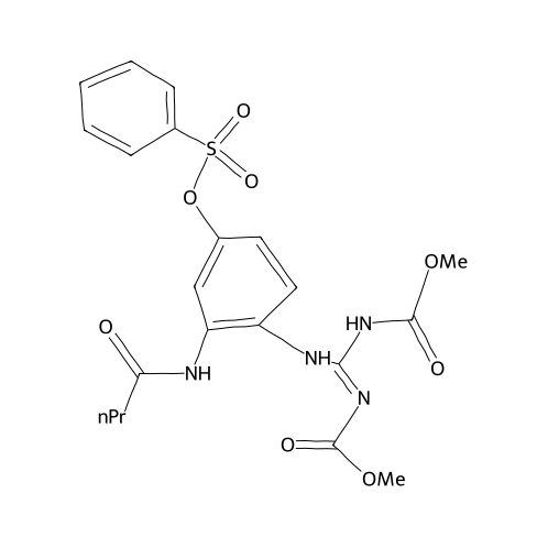 CCCC(=O)Nc1cc(OS(=O)(=O)c2ccccc2)ccc1NC(=NC(=O)OC)NC(=O)OC